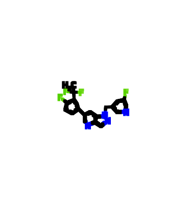 CC(F)(F)c1cc(-c2cnc3cnn(Cc4cncc(F)c4)c3c2)ccc1F